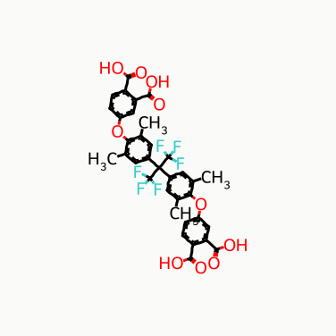 Cc1cc(C(c2cc(C)c(Oc3ccc(C(=O)O)c(C(=O)O)c3)c(C)c2)(C(F)(F)F)C(F)(F)F)cc(C)c1Oc1ccc(C(=O)O)c(C(=O)O)c1